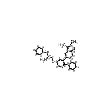 Cc1c2cc(-c3cc(OC[C@@H](N)Cc4ccccc4)cnc3-c3ccccc3)ccc2nn1C